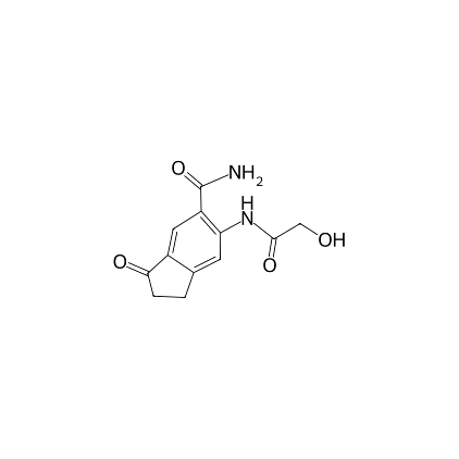 NC(=O)c1cc2c(cc1NC(=O)CO)CCC2=O